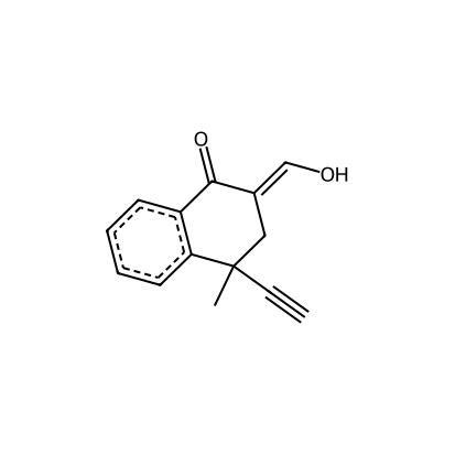 C#CC1(C)CC(=CO)C(=O)c2ccccc21